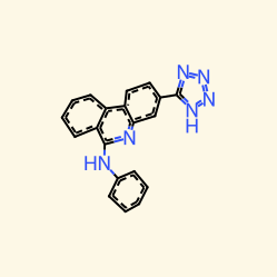 c1ccc(Nc2nc3cc(-c4nnn[nH]4)ccc3c3ccccc23)cc1